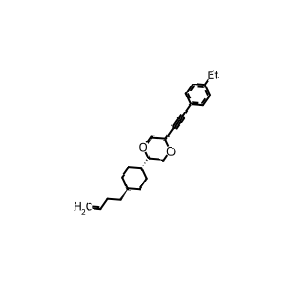 C=CCC[C@H]1CC[C@H](C2COC(C#Cc3ccc(CC)cc3)CO2)CC1